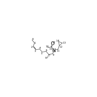 CC/C=C\CCCC(C)CN(CC1CC1)C(C)=O